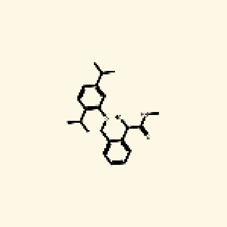 CNC(=O)C(O)c1ccccc1COc1cc(C(C)C)ccc1C(C)C